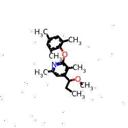 CCC(OC)c1cc(C)nc(Oc2c(C)cc(C)cc2C)c1C